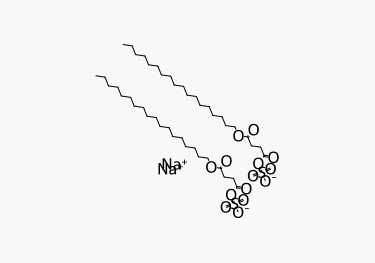 CCCCCCCCCCCCCCCCCCOC(=O)CCC(=O)OS(=O)(=O)[O-].CCCCCCCCCCCCCCCCCCOC(=O)CCC(=O)OS(=O)(=O)[O-].[Na+].[Na+]